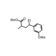 CCC(CC(C)C(=O)OC)c1cccc(OC)c1